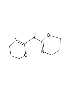 B(C1=NCCCO1)C1=NCCCO1